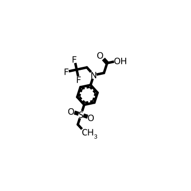 CCS(=O)(=O)c1ccc(N(CC(=O)O)CC(F)(F)F)cc1